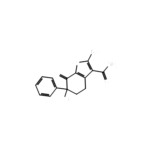 CC1(c2ccccc2)CCc2c(sc(N)c2C(N)=O)C1=O